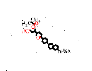 C=C(C)C(=O)OCC(CCO)C1CCC(C2CCC(c3ccc4c(c3)CCC(CCCCCC)C4)CC2)OC1